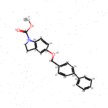 CC(C)(C)OC(=O)N1CCc2cc(OCc3ccc(-c4ccccc4)cc3)ccc21